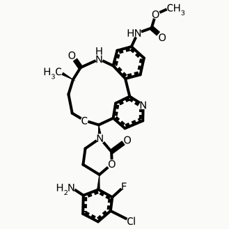 COC(=O)Nc1ccc2c(c1)NC(=O)[C@H](C)CCC[C@H](N1CC[C@H](c3c(N)ccc(Cl)c3F)OC1=O)c1ccnc-2c1